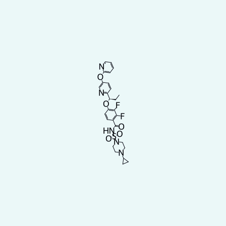 CC[C@@H](Oc1ccc(C(=O)NS(=O)(=O)N2CCN(C3CC3)CC2)c(F)c1F)c1ccc(Oc2ccccn2)cn1